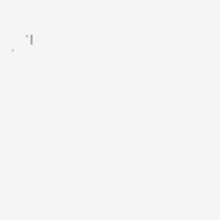 c1cnc2ccc(-c3ccc(N(c4ccc(-c5ccc6ncccc6c5)cc4)c4ccc5cc(-c6ccnc7c6oc6ccccc67)ccc5c4)cc3)cc2c1